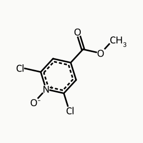 COC(=O)c1cc(Cl)[n+]([O-])c(Cl)c1